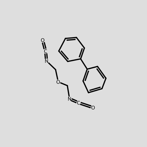 O=C=NCOCN=C=O.c1ccc(-c2ccccc2)cc1